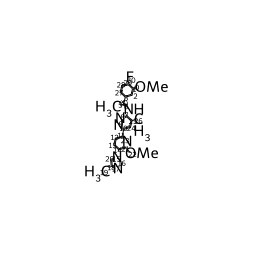 COc1cc([C@H](C)Nc2nnc(-c3ccc(-n4cnc(C)c4)c(OC)n3)cc2C)ccc1F